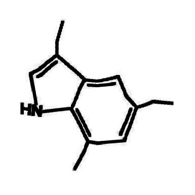 Cc1cc(C)c2[nH]cc(C)c2c1